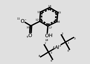 C[C](C)(C)[Al+][C](C)(C)C.O=C([O-])c1ccccc1O